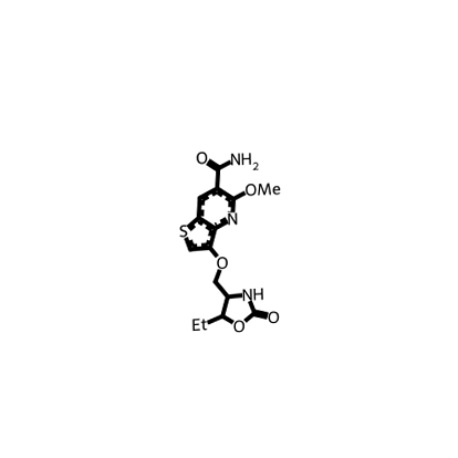 CCC1OC(=O)NC1COc1csc2cc(C(N)=O)c(OC)nc12